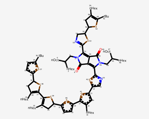 CCCCCCCCC(CCCCCC)CN1C(=O)C2=C(c3ncc(-c4cc(CCCCCC)c(-c5ccc(C6CC(CCCCCC)=C(C7=C(CCCCCC)CC(c8ccc(C(C)(C)C)s8)S7)S6)s5)s4)s3)N(CC(CCCCCC)CCCCCCCC)C(=O)C2=C1C1=NCC(C2CC(CCCCCC)=C(C(C)(C)C)S2)S1